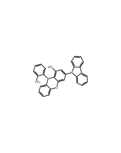 Cc1ccccc1B1c2ccccc2Oc2cc(-n3c4ccccc4c4ccccc43)cc(O)c21